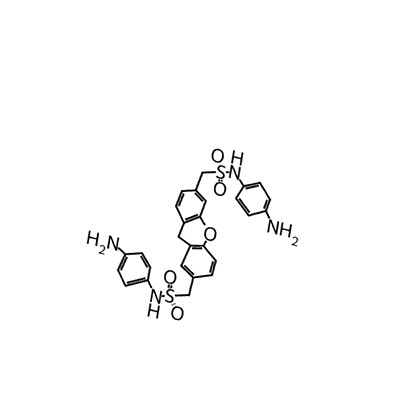 Nc1ccc(NS(=O)(=O)Cc2ccc3c(c2)Cc2ccc(CS(=O)(=O)Nc4ccc(N)cc4)cc2O3)cc1